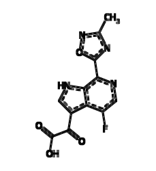 Cc1noc(-c2ncc(F)c3c(C(=O)C(=O)O)c[nH]c23)n1